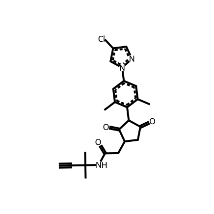 C#CC(C)(C)NC(=O)CC1CC(=O)C(c2c(C)cc(-n3cc(Cl)cn3)cc2C)C1=O